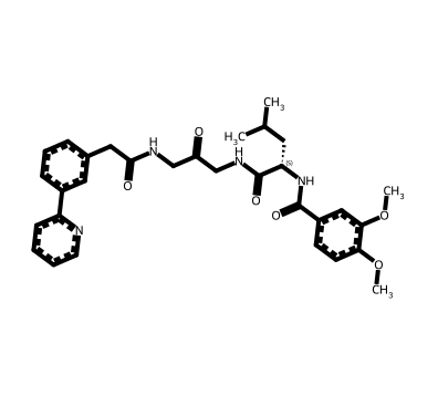 COc1ccc(C(=O)N[C@@H](CC(C)C)C(=O)NCC(=O)CNC(=O)Cc2cccc(-c3ccccn3)c2)cc1OC